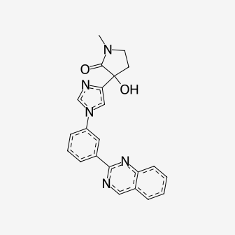 CN1CCC(O)(c2cn(-c3cccc(-c4ncc5ccccc5n4)c3)cn2)C1=O